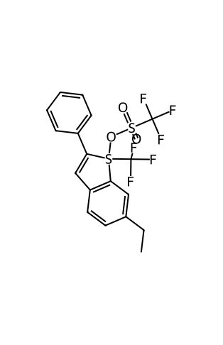 CCc1ccc2c(c1)S(OS(=O)(=O)C(F)(F)F)(C(F)(F)F)C(c1ccccc1)=C2